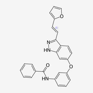 O=C(Nc1cccc(Oc2ccc3c(/C=C/c4ccco4)n[nH]c3c2)c1)c1ccccc1